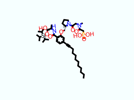 CCCCCCCCCCC#Cc1ccc(C(=O)NC(C)[C@H](O)O[Si](C(C)C)(C(C)C)C(C)C)c(OC[C@@H]2CCCN2C(=O)CN(C)C(=O)CP(=O)(O)O)c1